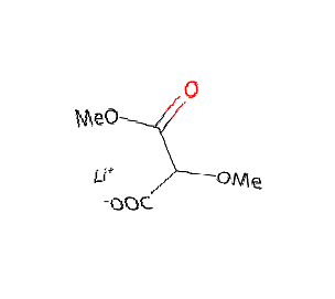 COC(=O)C(OC)C(=O)[O-].[Li+]